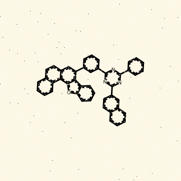 c1ccc(-c2nc(-c3cccc(-c4cc5ccc6ccccc6c5c5oc6ccccc6c45)c3)nc(-c3ccc4ccccc4c3)n2)cc1